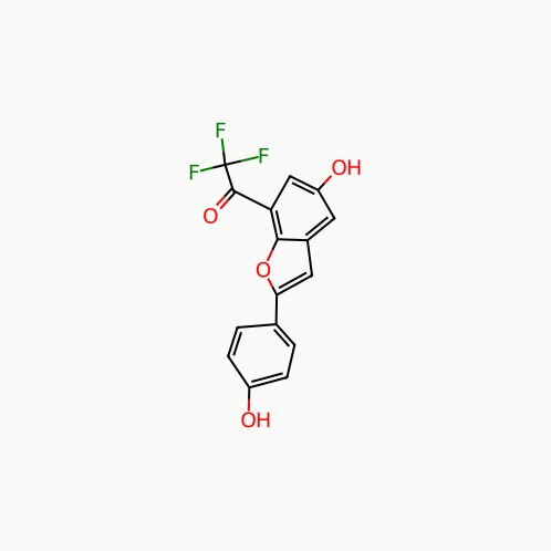 O=C(c1cc(O)cc2cc(-c3ccc(O)cc3)oc12)C(F)(F)F